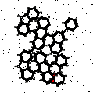 c1ccc(-c2cc(-c3c4ccccc4c(-c4cccc5oc6ccccc6c45)c4cc(-c5ccc6oc7cccc(-c8c9ccccc9c(-c9ccccc9-c9ccccc9)c9ccccc89)c7c6c5)ccc34)c3ccccc3c2)cc1